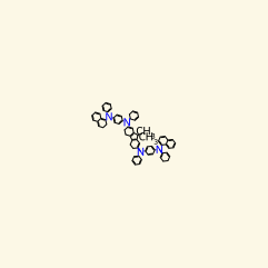 CC1(C)C2=C(CCC(N(c3ccccc3)c3ccc(N(C4=CCCC=C4)c4cccc5ccccc45)cc3)=C2)C2=C1C=C(N(c1ccc(N(C3=c4ccccc4=CCC3)c3ccccc3)cc1)C1C=CC=CC1)CC2